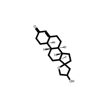 C[C@]12CC[C@H]3[C@@H](CCC4=CC(=O)CC[C@@H]43)[C@@H]1CCC21CC(O)CO1